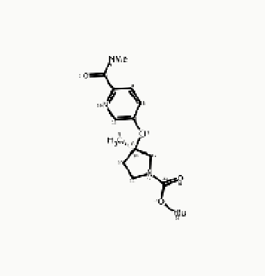 CNC(=O)c1ccc(O[C@]2(C)CCN(C(=O)OC(C)(C)C)C2)cn1